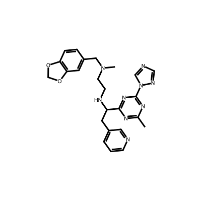 Cc1nc(C(Cc2cccnc2)NCCN(C)Cc2ccc3c(c2)OCO3)nc(-n2cncn2)n1